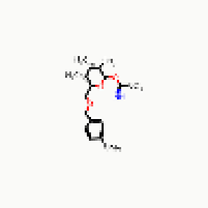 COc1ccc(COCC2OC(OC(=N)C(Cl)(Cl)Cl)C(C)[C@@H](C)[C@@H]2C)cc1